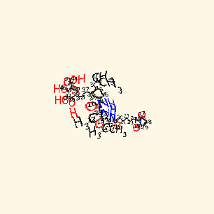 CC(C)Cc1ccc(NC(=O)[C@H](C)NC(=O)[C@@H](NC(=O)CCCCCN2C(=O)C=CC2=O)C(C)C)cc1CC[C@@H]1O[C@H](C(=O)O)[C@@H](O)[C@H](O)[C@H]1O